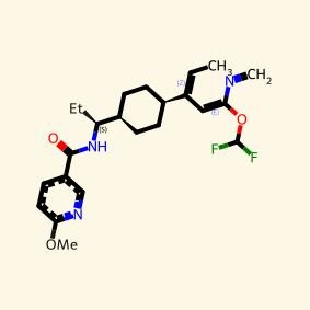 C=N/C(=C\C(=C/C)[C@H]1CC[C@@H]([C@H](CC)NC(=O)c2ccc(OC)nc2)CC1)OC(F)F